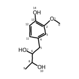 COc1cc(CC(O)C(C)O)ccc1O